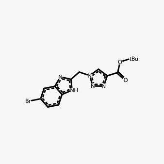 CC(C)(C)OC(=O)c1cn(Cc2nc3cc(Br)ccc3[nH]2)nn1